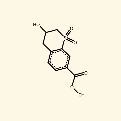 COC(=O)c1ccc2c(c1)S(=O)(=O)CC(O)C2